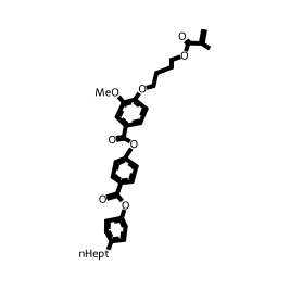 C=C(C)C(=O)OCCCCOc1ccc(C(=O)Oc2ccc(C(=O)Oc3ccc(CCCCCCC)cc3)cc2)cc1OC